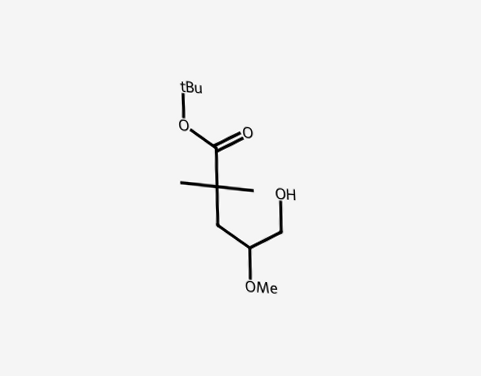 COC(CO)CC(C)(C)C(=O)OC(C)(C)C